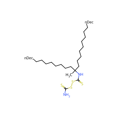 CCCCCCCCCCCCCCCCCCCC(C)(CCCCCCCCCCCCCCCCCC)NC(=S)SSC(N)=S